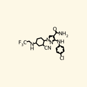 N#CC1CC(NCC(F)(F)F)CCC1n1cc(C(N)=O)c(Nc2ccc(Cl)cc2)n1